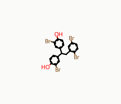 Oc1ccc(C(Cc2cc(Br)ccc2Br)c2ccc(O)c(Br)c2)cc1Br